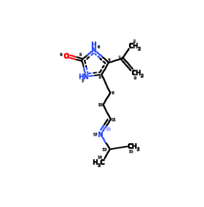 C=C(C)c1[nH]c(=O)[nH]c1CC/C=N/C(C)C